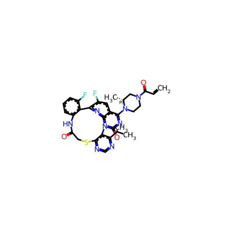 C=CC(=O)N1CCN(c2nc(=O)n3c4nc(c(F)cc24)-c2c(F)cccc2NC(=O)CSc2ncnc(C(C)C)c2-3)[C@H](C)C1